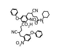 CN(C(=O)CCC(C#N)Cc1cc(Oc2ccccc2)ccc1[N+](=O)[O-])C1CCCCC1.N#CC(CCC(=O)O)Cc1cc(Oc2ccccc2)ccc1[N+](=O)[O-]